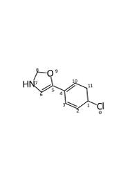 ClC1C=CC(C2=CNCO2)=CC1